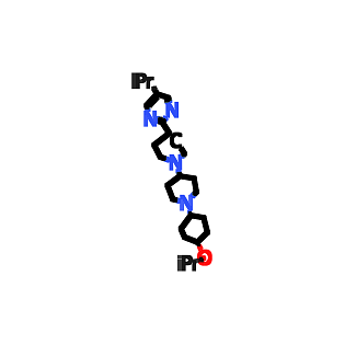 CC(C)O[C@H]1CC[C@H](N2CCC(N3CCC(c4ncc(C(C)C)cn4)CC3)CC2)CC1